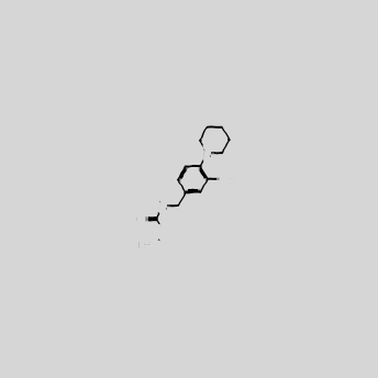 CC(C)(C)OC(=O)NCc1ccc(N2CCCCC2)c(C(F)(F)F)c1